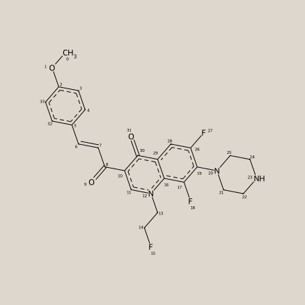 COc1ccc(C=CC(=O)c2cn(CCF)c3c(F)c(N4CCNCC4)c(F)cc3c2=O)cc1